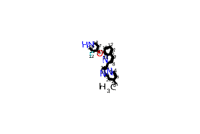 CCc1ccn2c(-c3ccc4cccc(OC5CCNCC5F)c4n3)cnc2c1